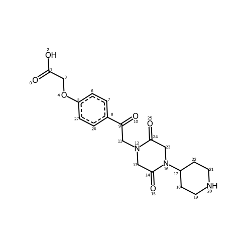 O=C(O)COc1ccc(C(=O)CN2CC(=O)N(C3CCNCC3)CC2=O)cc1